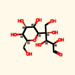 O=C[C@H](O)[C@@H](O)[C@](O)(CO)[C@H]1O[C@H](CO)[C@@H](O)[C@H](O)[C@H]1O